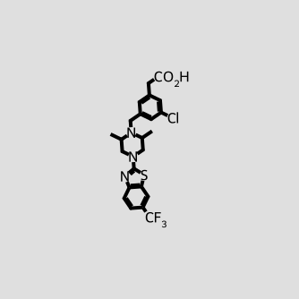 CC1CN(c2nc3ccc(C(F)(F)F)cc3s2)CC(C)N1Cc1cc(Cl)cc(CC(=O)O)c1